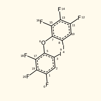 Fc1cc(I)c(Oc2c(I)cc(F)c(F)c2F)c(F)c1F